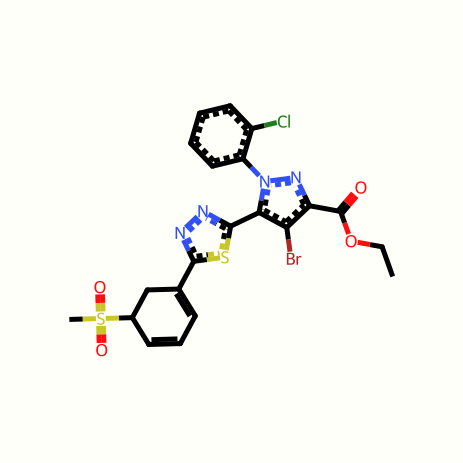 CCOC(=O)c1nn(-c2ccccc2Cl)c(-c2nnc(C3=CC=CC(S(C)(=O)=O)C3)s2)c1Br